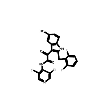 O=C(Nc1c(Cl)cncc1Cl)C(=O)c1c(Cc2c(F)cccc2F)[nH]c2ccc(O)cc12